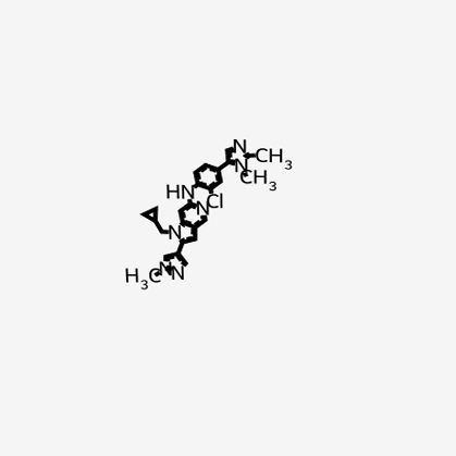 Cc1ncc(-c2ccc(Nc3cc4c(cn3)cc(-c3cnn(C)c3)n4CC3CC3)c(Cl)c2)n1C